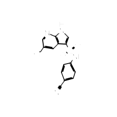 N#Cc1ccc(NS(=O)(=O)c2c[nH]c3ncc(Cl)cc23)cc1